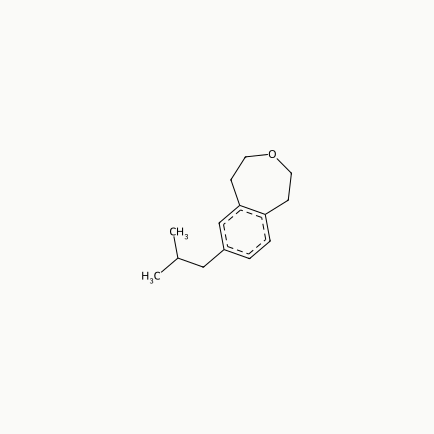 CC(C)Cc1ccc2c(c1)CCOCC2